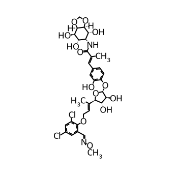 CON=Cc1cc(Cl)cc(Cl)c1OC/C=C(\C)[C@H]1O[C@@H](Oc2ccc(/C=C(\C)C(=O)N[C@@H]3[C@H](O)[C@@H](O)[C@H]4OCO[C@H]4[C@@H]3O)cc2O)[C@@H](O)[C@@H]1O